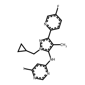 Cc1c(-c2ccc(F)cn2)nn(CC2CC2)c1Nc1cc(I)ncn1